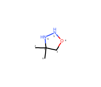 CC1(C)CONN1